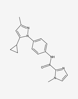 Cc1cc(C2CC2)n(-c2ccc(NC(=O)c3nccn3C)cc2)n1